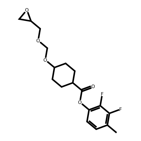 Cc1ccc(OC(=O)C2CCC(OCOCC3CO3)CC2)c(F)c1F